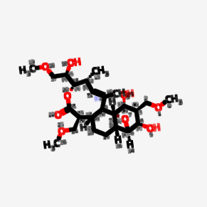 COC[C@H]1[C@@H](O)[C@@H]2O[C@@]34/C(C)=C/[C@@H](C)[C@@H]([C@H](O)COC)OC(=O)[C@H](COC)[C@H]3CC[C@@H]2[C@H]4[C@@H]1O